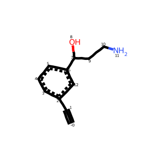 [C]#Cc1cccc(C(O)CCN)c1